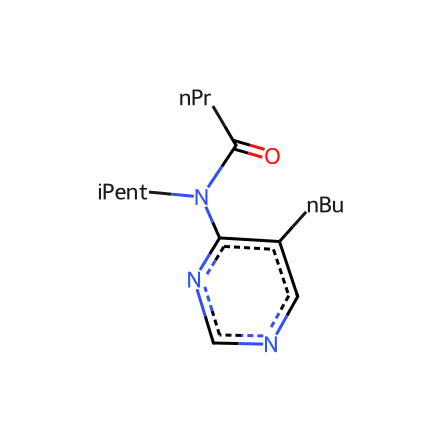 CCCCc1cncnc1N(C(=O)CCC)C(C)CCC